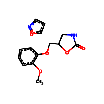 COc1ccccc1OCC1CNC(=O)O1.c1cnoc1